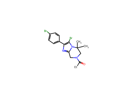 CCC(=O)N1Cc2nc(-c3ccc(Br)cc3)c(Br)n2C(C)(C)C1